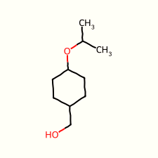 CC(C)OC1CCC(CO)CC1